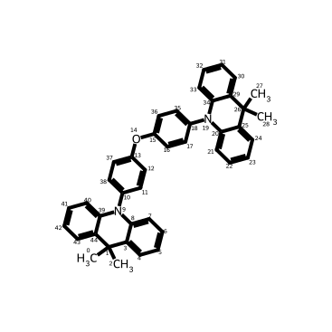 CC1(C)c2ccccc2N(c2ccc(Oc3ccc(N4c5ccccc5C(C)(C)c5ccccc54)cc3)cc2)c2ccccc21